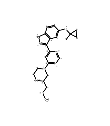 CC1(Oc2ccc3[nH]nc(-c4cc(N5CCNC(COO)C5)ncn4)c3c2)CC1